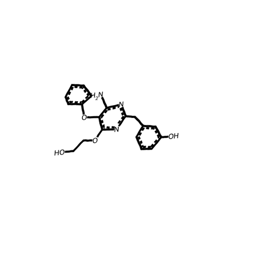 Nc1nc(Cc2cccc(O)c2)nc(OCCO)c1Oc1ccccc1